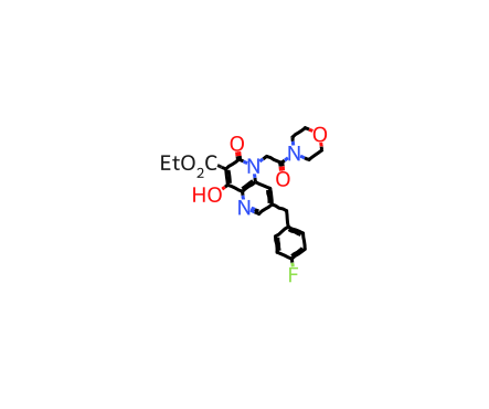 CCOC(=O)c1c(O)c2ncc(Cc3ccc(F)cc3)cc2n(CC(=O)N2CCOCC2)c1=O